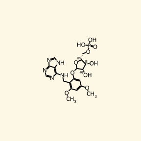 COc1cc(OC)c(CNc2ncnc3nc[nH]c23)c(OC2O[C@H](COP(=O)(O)O)[C@@H](O)[C@H]2O)c1